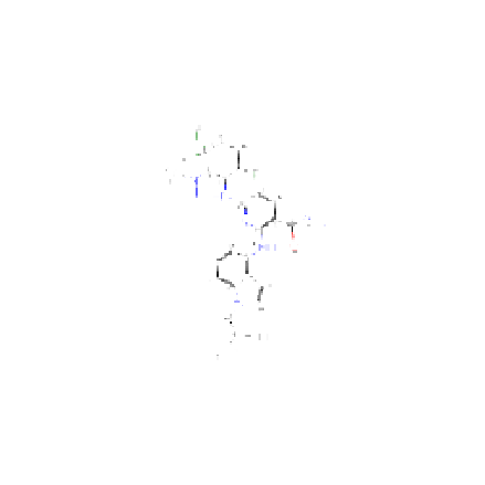 CNC1C(Nc2nc(Nc3cccc4c3ccn4CC(C)C)c(C(N)=O)cc2F)CCCC1(F)F